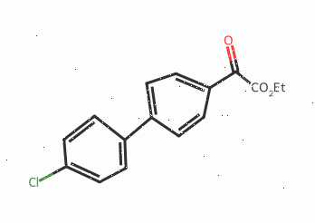 CCOC(=O)C(=O)c1ccc(-c2ccc(Cl)cc2)cc1